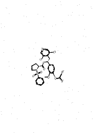 COc1cc([C@H](Cc2c(Cl)cncc2Cl)OC(=O)[C@@H]2CCCN2S(=O)(=O)c2ccccc2)ccc1OC(F)F